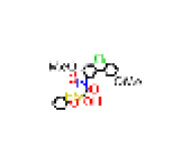 COC(=O)c1ccc(-c2cc(OC)ccc2Cl)cc1NC(=O)C(O)=[SH]Oc1ccccc1